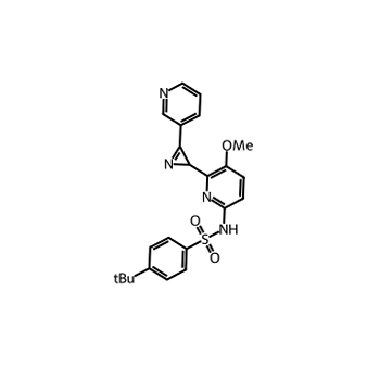 COc1ccc(NS(=O)(=O)c2ccc(C(C)(C)C)cc2)nc1C1N=C1c1cccnc1